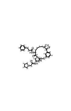 CN1CCCC[C@H](NC(=O)CCc2ccccc2)C(=O)N2C[C@@H](NC(=O)CN3CCCC3)C[C@H]2COc2cccc(c2)C1=O